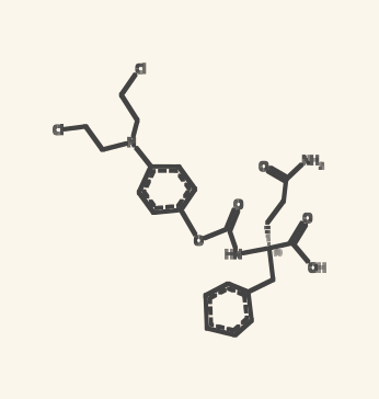 NC(=O)CC[C@](Cc1ccccc1)(NC(=O)Oc1ccc(N(CCCl)CCCl)cc1)C(=O)O